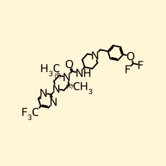 C[C@@H]1CN(c2ncc(C(F)(F)F)cn2)C[C@H](C)N1C(=O)NC1CCN(Cc2ccc(OC(F)F)cc2)CC1